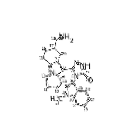 Cn1cc(-n2c(-c3c4c(n5ccccc35)CCC(CN)C4)n[nH]c2=O)c2ccccc21